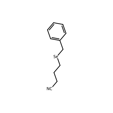 N#CCCC[Se]Cc1ccccc1